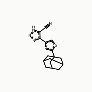 N#Cc1[nH]nnc1-c1csc(C23CC4CC(CC(C4)C2)C3)n1